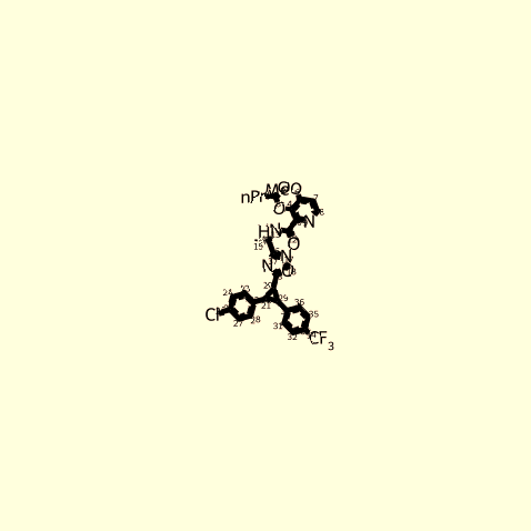 CCCC(=O)Oc1c(OC)ccnc1C(=O)N[C@@H](C)c1noc(C2C(c3ccc(Cl)cc3)C2c2ccc(C(F)(F)F)cc2)n1